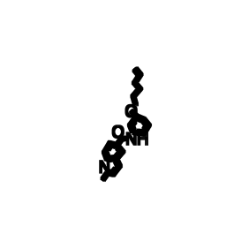 C=CCCCCOc1cccc(NC(=O)c2ccc3nc(C)ccc3c2)c1